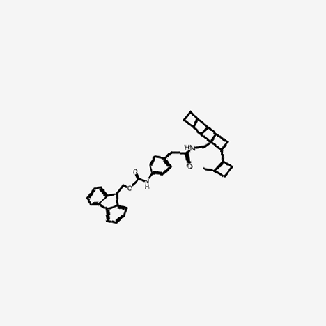 CC1CCC1C1CC2C3C4CCC4C3C12CNC(=O)Cc1ccc(NC(=O)OCC2c3ccccc3-c3ccccc32)cc1